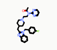 CC(=O)N(CCN1CCC(Cc2nc3ccccc3n2Cc2ccc(F)cc2)CC1)c1ncccn1